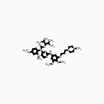 COc1ccc(N(C(=O)OC(C(C)C)C(C)C)c2ccnc(Nc3cc(OC)c(OC)c(OCCCN4CCN(C)CC4)c3)n2)c(OC)c1